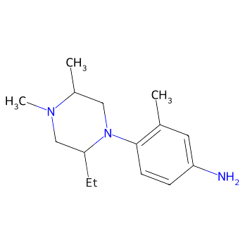 CCC1CN(C)C(C)CN1c1ccc(N)cc1C